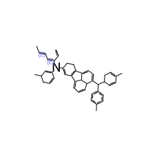 C=C/C(=C\C=C\C)N(C1=CC(C)CC=C1)C1=CC2=C(CC1)C1=CC=C(C(c3ccc(C)cc3)C3C=CC(C)=CC3)C3C=CC=C2C13